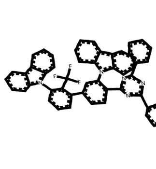 FC(F)(F)c1c(-c2ccc(-c3nc(-c4ccccc4)nc(-c4ccccc4)n3)c(-n3c4ccccc4c4ccccc43)c2)cccc1-n1c2ccccc2c2ccccc21